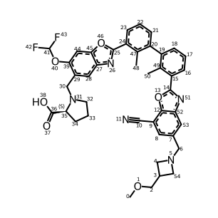 COCC1CN(Cc2cc(C#N)c3oc(-c4cccc(-c5cccc(-c6nc7cc(CN8CCC[C@H]8C(=O)O)c(OC(F)F)cc7o6)c5C)c4C)nc3c2)C1